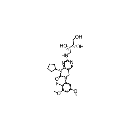 COc1cc(OC)c(F)c(N2Cc3cnc(NC[C@H](O)[C@@H](O)CO)nc3N(C3CCCC3)C2=O)c1